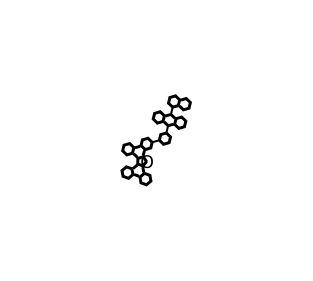 c1cc(-c2ccc3c4ccccc4c4c(oc5c6ccccc6c6ccccc6c54)c3c2)cc(-c2c3ccccc3c(-c3cccc4ccccc34)c3ccccc23)c1